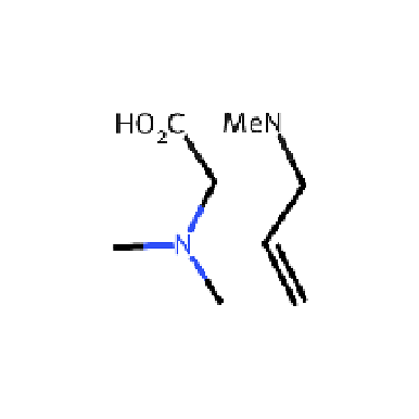 C=CCNC.CN(C)CC(=O)O